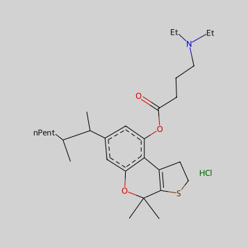 CCCCCC(C)C(C)c1cc(OC(=O)CCCN(CC)CC)c2c(c1)OC(C)(C)C1=C2CCS1.Cl